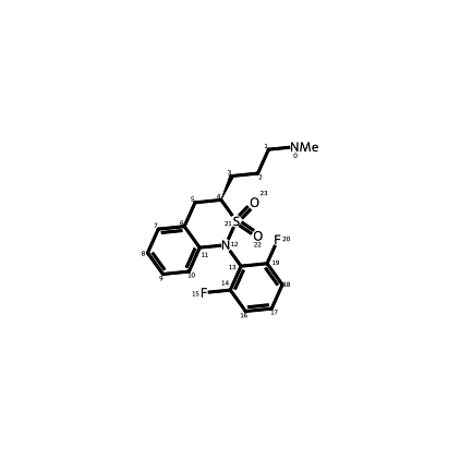 CNCCC[C@@H]1Cc2ccccc2N(c2c(F)cccc2F)S1(=O)=O